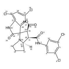 O=C(Nc1cc(Cl)cc(Cl)c1)[C@H]1[C@H]2CCCN2C2(C(=O)Nc3c(Cl)cc(Cl)cc32)[C@H]1C(=O)O